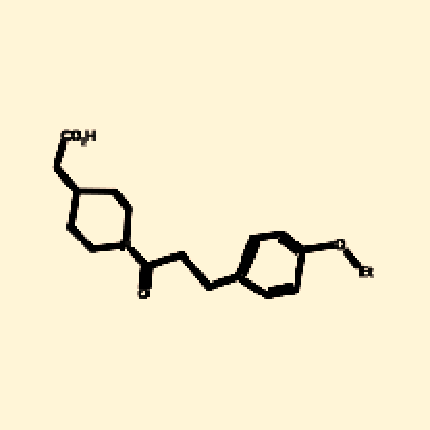 CCOc1ccc(CCC(=O)N2CCC(CC(=O)O)CC2)cc1